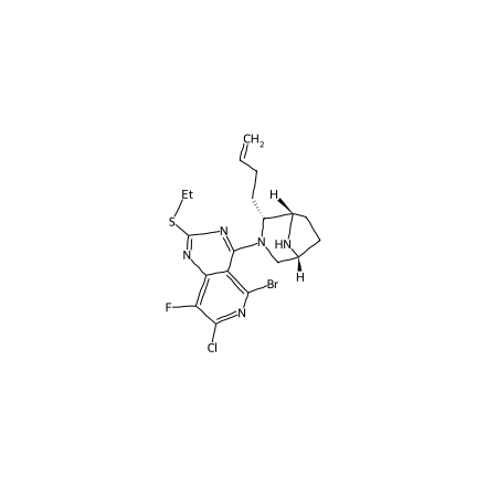 C=CCC[C@@H]1[C@@H]2CC[C@H](CN1c1nc(SCC)nc3c(F)c(Cl)nc(Br)c13)N2